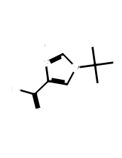 CC(C)(C)n1cnc(C(=O)O)c1.Cl